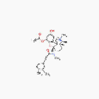 CC(=O)Oc1cc(O)c2c3c1O[C@H]1[C@@H](N(C)C(=O)C#Cc4ccc(C)c(C)c4)CC[C@H]4[C@@H](C2)N(C)CC[C@@]341